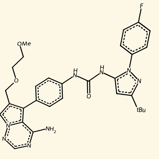 COCCOCc1cn2ncnc(N)c2c1-c1ccc(NC(=O)Nc2cc(C(C)(C)C)nn2-c2ccc(F)cc2)cc1